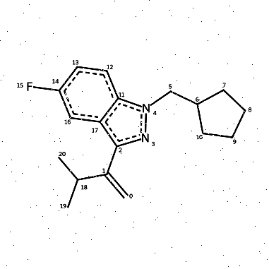 C=C(c1nn(CC2CCCC2)c2ccc(F)cc12)C(C)C